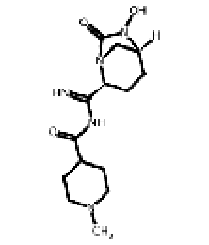 CN1CCC(C(=O)NC(=N)[C@@H]2CC[C@@H]3CN2C(=O)N3O)CC1